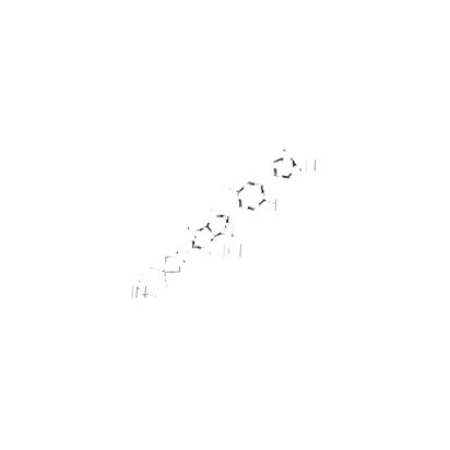 Cl.Fc1cc(-c2nc3sc(N4CC5(CCNCC5)C4)nc3s2)c(F)cc1-c1cn[nH]c1